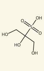 O=S(=O)(O)C(O)(CO)CO